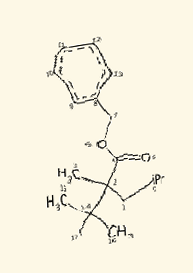 CC(C)CC(C)(C(=O)OCc1ccccc1)C(C)(C)I